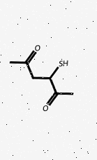 CC(=O)CC(S)C(C)=O